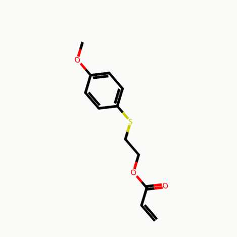 C=CC(=O)OCCSc1ccc(OC)cc1